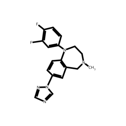 CN1CCN(c2ccc(F)c(F)c2)c2ccc(-n3cncn3)cc2C1